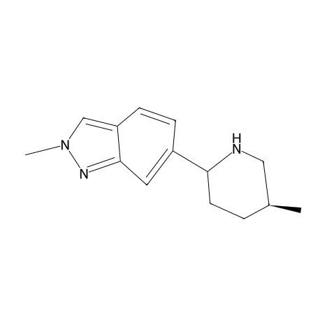 C[C@H]1CCC(c2ccc3cn(C)nc3c2)NC1